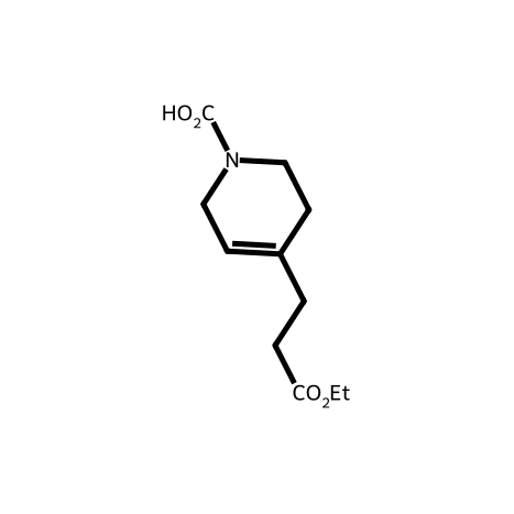 CCOC(=O)CCC1=CCN(C(=O)O)CC1